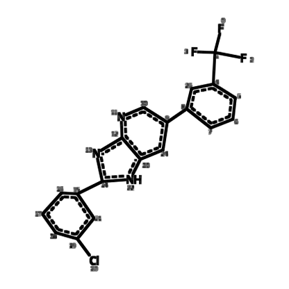 FC(F)(F)c1cccc(-c2cnc3nc(-c4cccc(Cl)c4)[nH]c3c2)c1